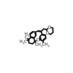 Cc1ccc(C(=Cc2ccc3c(c2)C(C)(C)CCC3(C)C)CC2OCCCO2)cc1